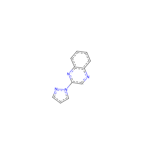 [c]1nc2ccccc2nc1-n1cccn1